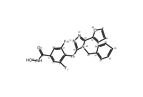 O=C(NO)c1cc(F)c(Sc2nnc(-c3ccco3)n2Cc2ccccc2)c(F)c1